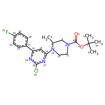 CC1CN(C(=O)OC(C)(C)C)CCN1c1cc(-c2ccc(F)cc2)nc(Cl)n1